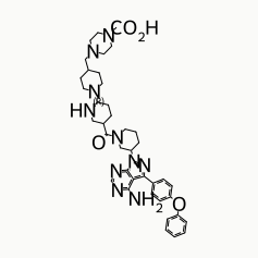 Nc1ncnc2c1c(-c1ccc(Oc3ccccc3)cc1)nn2C1CCCN(C(=O)C2CC[C@@H](N3CCC(CN4CCN(C(=O)O)CC4)CC3)NC2)C1